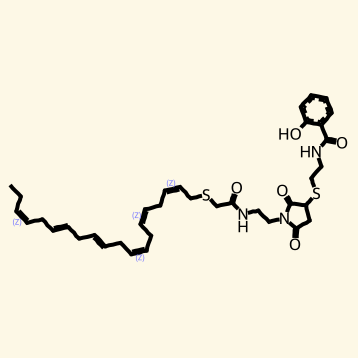 CC/C=C\CC=CCC=CC/C=C\C/C=C\C/C=C\CSCC(=O)NCCN1C(=O)CC(SCCNC(=O)c2ccccc2O)C1=O